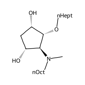 CCCCCCCCN(C)[C@@H]1[C@@H](OCCCCCCC)[C@@H](O)C[C@H]1O